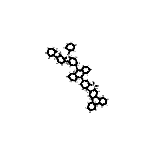 C[Si]1(C)c2cc(-c3c4ccccc4c(-c4ccc5c(c4)c4ccc6c7ccccc7oc6c4n5-c4ccccc4)c4ccccc34)ccc2-c2cc3c4ccccc4c4ccccc4c3cc21